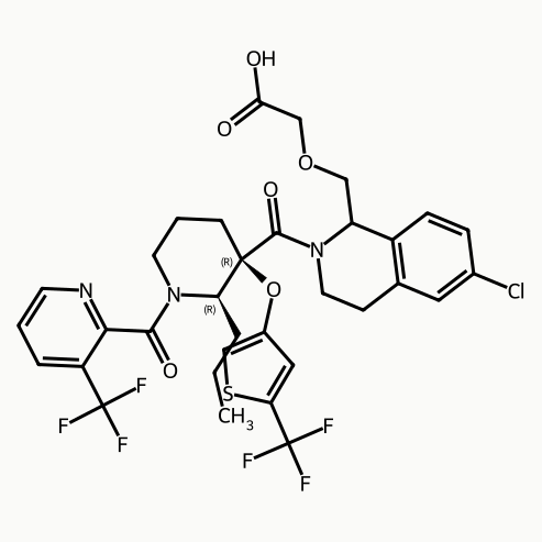 CCC[C@H]1N(C(=O)c2ncccc2C(F)(F)F)CCC[C@]1(Oc1csc(C(F)(F)F)c1)C(=O)N1CCc2cc(Cl)ccc2C1COCC(=O)O